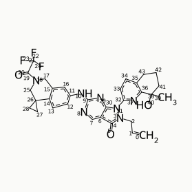 C=CCn1c(=O)c2cnc(Nc3ccc4c(c3)CN(C(=O)C(F)(F)F)CC43CC3)nc2n1-c1ccc2c(n1)C(C)(O)CCC2